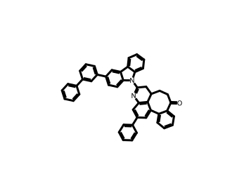 O=C1CCC2CC(n3c4ccccc4c4cc(-c5cccc(-c6ccccc6)c5)ccc43)=Nc3cc(-c4ccccc4)cc(c32)-c2ccccc21